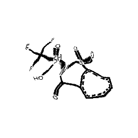 O=C1c2ccccc2S(=O)(=O)N1[SH](=O)(O)C(F)(F)F